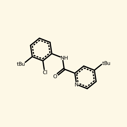 CC(C)(C)c1ccnc(C(=O)Nc2cccc(C(C)(C)C)c2Cl)c1